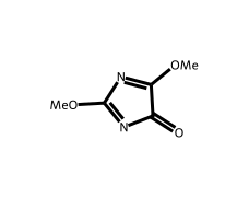 COC1=NC(=O)C(OC)=N1